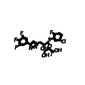 C[C@@H](O)C(CO)OC(Sc1cc(Cl)ccc1F)[C@@H](O)Cn1cc(-c2cc(F)c(F)c(F)c2)nn1